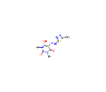 Cc1nnc(N=Nc2c(O)n(C(C)C)c(=O)n(C(C)C)c2=O)s1